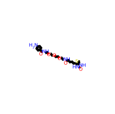 Nc1ccc(C(=O)NCCOCCOCCOCCNC(=O)CCCCC2SCC3NC(=O)NC32)cc1